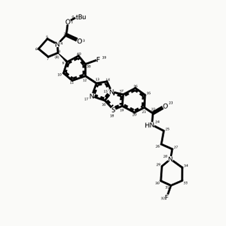 CC(C)(C)OC(=O)N1CCC[C@@H]1c1ccc(-c2cn3c(n2)sc2cc(C(=O)NCCCN4CCC(F)CC4)ccc23)c(F)c1